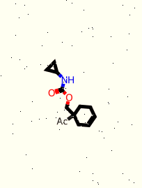 CC(=O)C1(COC(=O)NC2CC2)CC=CCC1